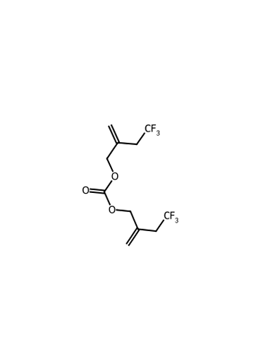 C=C(COC(=O)OCC(=C)CC(F)(F)F)CC(F)(F)F